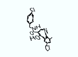 Cc1cc(Cl)cc2c(O)c(C(=O)NCc3ccc(Cl)cc3)cnc12